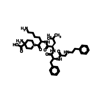 CC(C)C[C@@H](NC(=O)C(Cc1ccccc1)NC(=O)CNCCc1ccccc1)C(=O)NC(CCCCN)C(=O)N1CCC(N)(C(=O)O)CC1